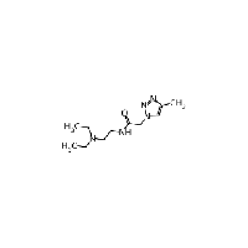 CCN(CC)CCNC(=O)Cn1cc(C)nn1